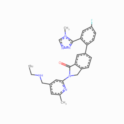 Cc1cc(CNCC(C)(C)C)cc(N2Cc3ccc(-c4ccc(F)cc4-c4nncn4C)cc3C2=O)n1